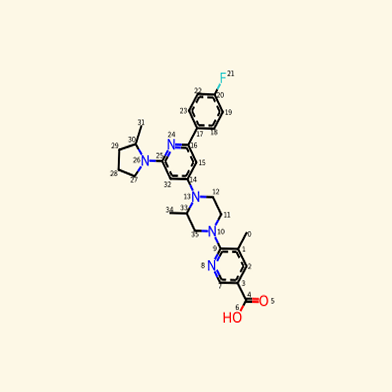 Cc1cc(C(=O)O)cnc1N1CCN(c2cc(-c3ccc(F)cc3)nc(N3CCCC3C)c2)C(C)C1